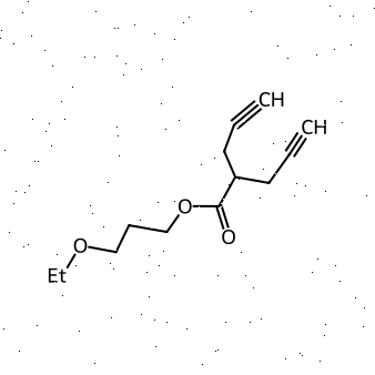 C#CCC(CC#C)C(=O)OCCCOCC